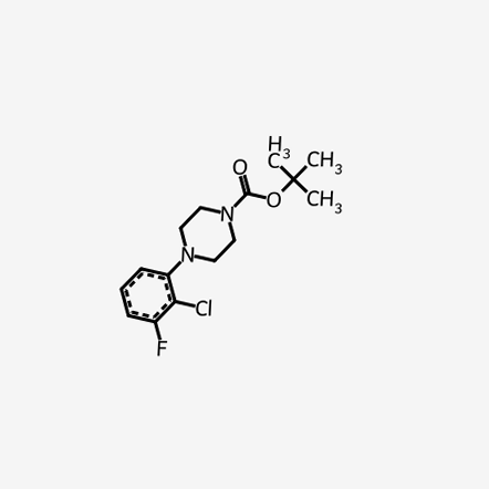 CC(C)(C)OC(=O)N1CCN(c2cccc(F)c2Cl)CC1